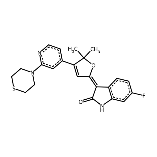 CC1(C)O/C(=C2/C(=O)Nc3cc(F)ccc32)C=C1c1ccnc(N2CCSCC2)c1